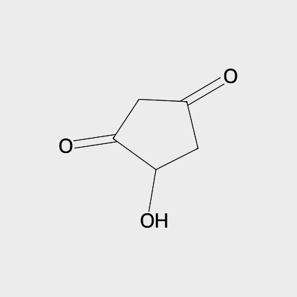 O=C1CC(=O)C(O)C1